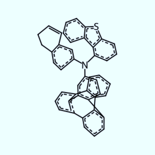 C1=Cc2cc(N(c3ccc4c(c3)-c3c5cccc3-c3cccc-4c3-c3ccccc3-5)c3cccc4sc5ccccc5c34)ccc2CC1